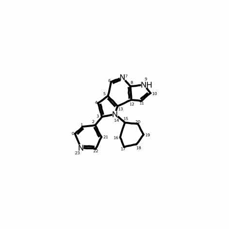 c1cc(-c2cc3cnc4[nH]ccc4c3n2C2CCCCC2)ccn1